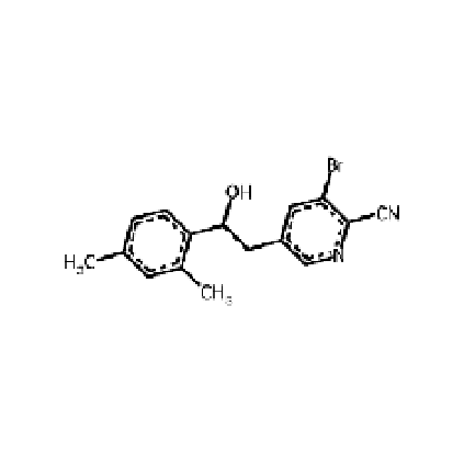 Cc1ccc(C(O)Cc2cnc(C#N)c(Br)c2)c(C)c1